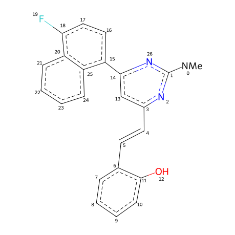 CNc1nc(C=Cc2ccccc2O)cc(-c2ccc(F)c3ccccc23)n1